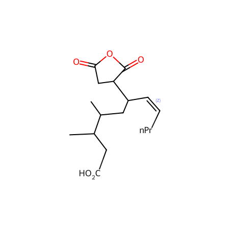 CCC/C=C\C(CC(C)C(C)CC(=O)O)C1CC(=O)OC1=O